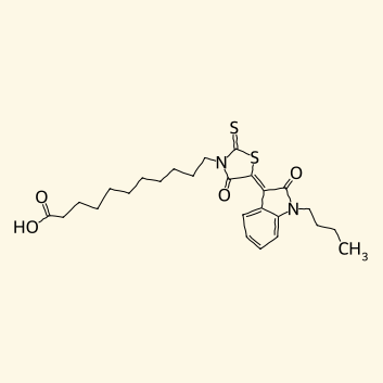 CCCCN1C(=O)/C(=C2\SC(=S)N(CCCCCCCCCCC(=O)O)C2=O)c2ccccc21